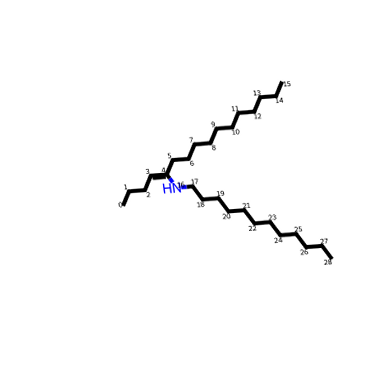 CCCC=C(CCCCCCCCCCC)NCCCCCCCCCCCC